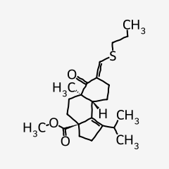 CCCSC=C1CC[C@@H]2C3=C(C(C)C)CC[C@]3(C(=O)OC)CC[C@@]2(C)C1=O